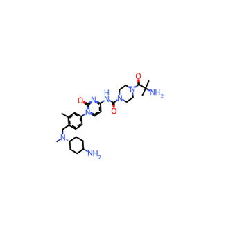 Cc1cc(-n2ccc(NC(=O)N3CCN(C(=O)C(C)(C)N)CC3)nc2=O)ccc1CN(C)[C@H]1CC[C@H](N)CC1